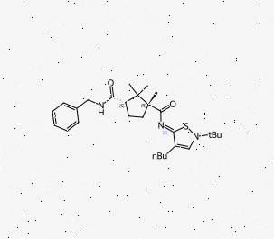 CCCCc1cn(C(C)(C)C)s/c1=N\C(=O)[C@]1(C)CC[C@H](C(=O)NCc2ccccc2)C1(C)C